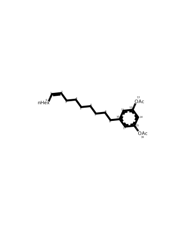 CCCCCC/C=C\CCCCCCCc1cc(OC(C)=O)cc(OC(C)=O)c1